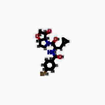 O=C(NC(CC1CC1)C(=O)N1CCC2OCC(=O)C21)c1ccc(Br)cc1